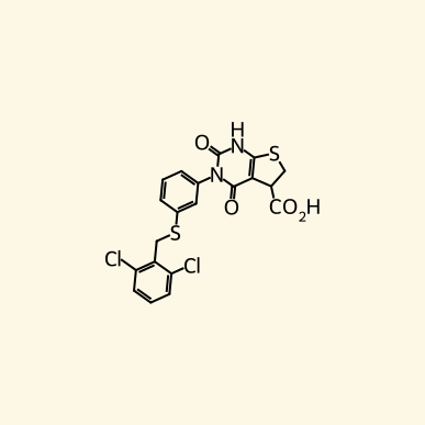 O=C(O)C1CSc2[nH]c(=O)n(-c3cccc(SCc4c(Cl)cccc4Cl)c3)c(=O)c21